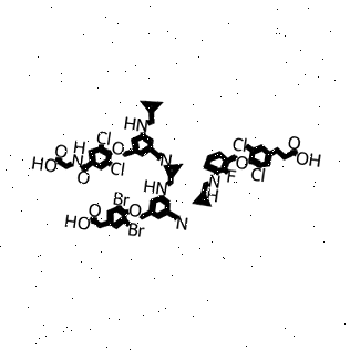 N#Cc1cc(COc2c(Br)cc(CC(=O)O)cc2Br)cc(NCC2CC2)c1.N#Cc1cc(COc2c(Cl)cc(C(=O)NCC(=O)O)cc2Cl)cc(NCC2CC2)c1.O=C(O)CCc1cc(Cl)c(OCc2cccc(NCC3CC3)c2F)c(Cl)c1